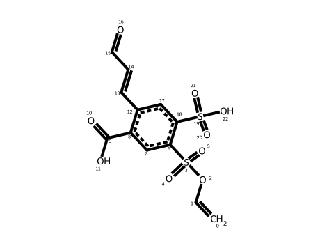 C=COS(=O)(=O)c1cc(C(=O)O)c(C=CC=O)cc1S(=O)(=O)O